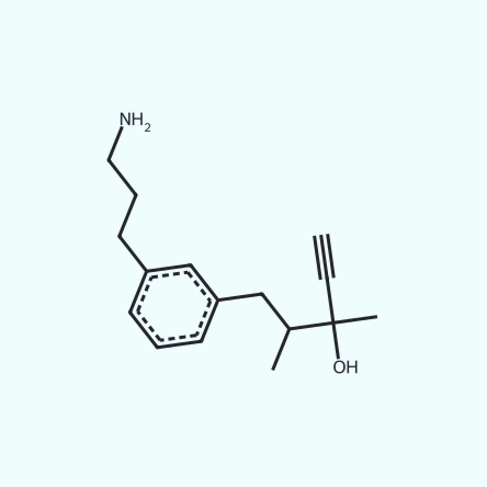 C#CC(C)(O)C(C)Cc1cccc(CCCN)c1